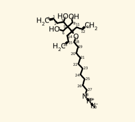 C=CCC(O)C(CO)(CO)C(CC=C)(CC=C)OCCCCCCCCCCN=[N+]=[N-]